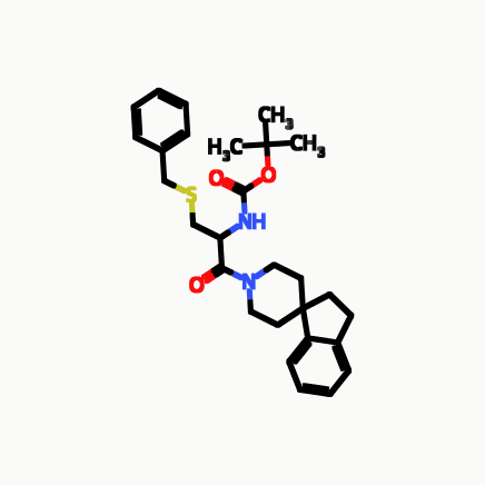 CC(C)(C)OC(=O)NC(CSCc1ccccc1)C(=O)N1CCC2(CCc3ccccc32)CC1